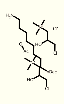 CC(=O)[O-].CCCCCCCCCCCCCCCCCCN.C[N+](C)(C)CC(O)CCl.C[N+](C)(C)CC(O)CCl.[Cl-]